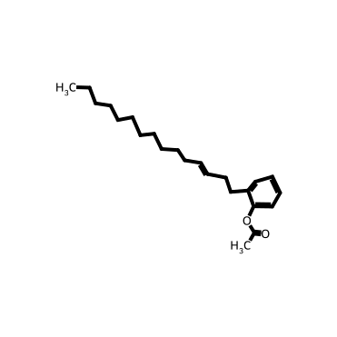 CCCCCCCCCCCC=CCCc1ccccc1OC(C)=O